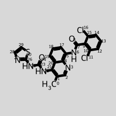 Cc1cnc2c(NC(=O)c3c(Cl)cccc3Cl)cccc2c1NC(=O)Nc1nccs1